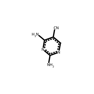 N#Cc1[c]nc(N)nc1N